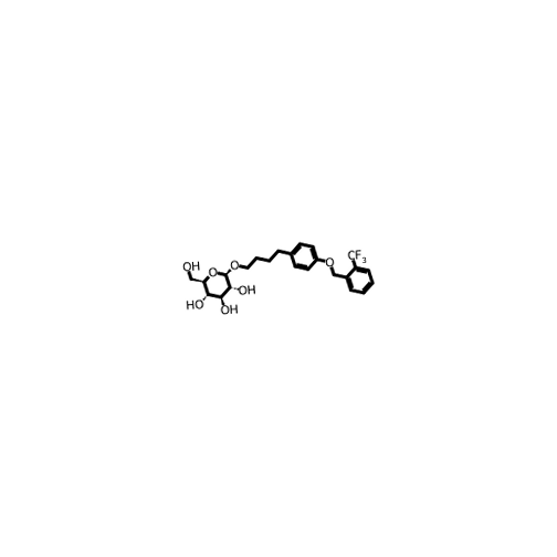 OC[C@H]1O[C@@H](OCCCCc2ccc(OCc3ccccc3C(F)(F)F)cc2)[C@H](O)[C@@H](O)[C@@H]1O